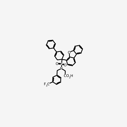 O=C(O)CN(Cc1cccc(C(F)(F)F)c1)S(=O)(=O)C1(c2cccc3c2oc2ccccc23)C=CC(c2ccccc2)=CC1